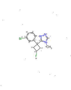 Cn1cnnc1C1(c2cccc(Br)c2)CC(F)C1